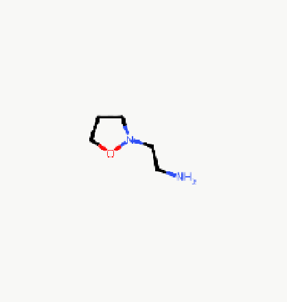 NCCN1CCCO1